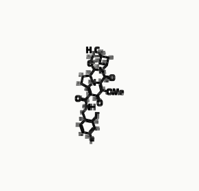 COc1c2n3c(c(C(=O)NCc4ccc(F)cc4F)c1=O)CCC3C1OCC3(C)CC(C3)N1C2=O